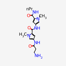 CCCNC(=O)c1cc(NC(=O)c2cc(NC(=O)CCN)cn2C)cn1C